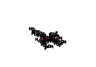 CC(C)(OC(F)(C(F)(F)OC(F)(F)C(F)(F)OC(F)(F)CO)C(F)(F)OC(F)(F)C(F)(OC(F)(F)C(F)(F)OC(F)(F)CO)C(F)(F)OC(F)(F)C(F)(F)OC(F)(F)CO)C(F)(F)C(F)(F)OC(F)(F)CO